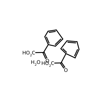 O.O=C(O)C(=O)c1ccccc1.O=C(O)C(=O)c1ccccc1